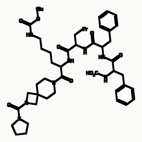 CC(C)CC(NC(=O)C(Cc1ccccc1)NC(=O)C(Cc1ccccc1)NC(=O)O)C(=O)NC(CCCCNC(=O)OC(C)(C)C)C(=O)N1CCC2(CC1)CN(C(=O)N1CCCC1)C2